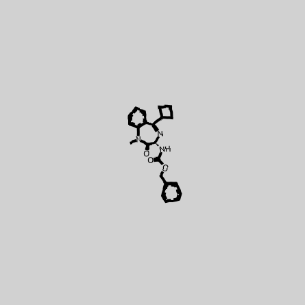 CN1C(=O)[C@@H](NC(=O)OCc2ccccc2)N=C(C2CCC2)c2ccccc21